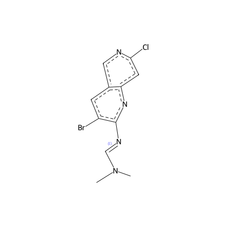 CN(C)/C=N/c1nc2cc(Cl)ncc2cc1Br